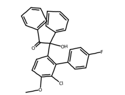 COc1ccc(C(O)(C(=O)c2ccccc2)c2ccccc2)c(-c2ccc(F)cc2)c1Cl